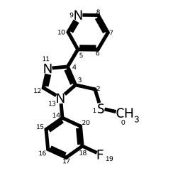 CSCc1c(-c2cccnc2)ncn1-c1cccc(F)c1